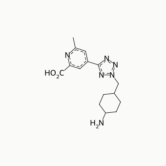 Cc1cc(-c2nnn(CC3CCC(N)CC3)n2)cc(C(=O)O)n1